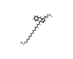 CCCCCCCCCCCCCCCn1cc[n+](CCC)c1Cc1ccccc1